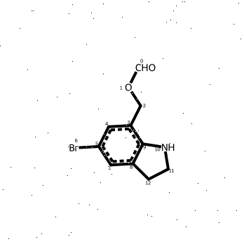 O=COCc1cc(Br)cc2c1NCC2